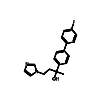 CC(O)(CCn1ccnc1)c1ccc(-c2ccc(F)cc2)cc1